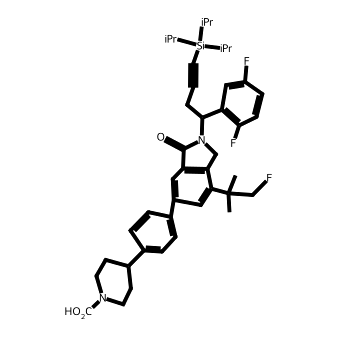 CC(C)[Si](C#CCC(c1cc(F)ccc1F)N1Cc2c(cc(-c3ccc(C4CCN(C(=O)O)CC4)cc3)cc2C(C)(C)CF)C1=O)(C(C)C)C(C)C